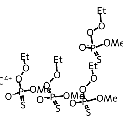 CCOOP([O-])(=S)OC.CCOOP([O-])(=S)OC.CCOOP([O-])(=S)OC.CCOOP([O-])(=S)OC.[C+4]